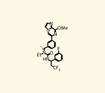 CCN(C(=O)NC(CC(F)(F)F)c1cccc(F)c1)[C@H](C)c1cccc(-c2cn3ccnc3c(OC)n2)c1